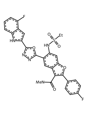 CCS(=O)(=O)Nc1cc2oc(-c3ccc(F)cc3)c(C(=O)NC)c2cc1-c1nnc(-c2cc3c(F)cccc3[nH]2)o1